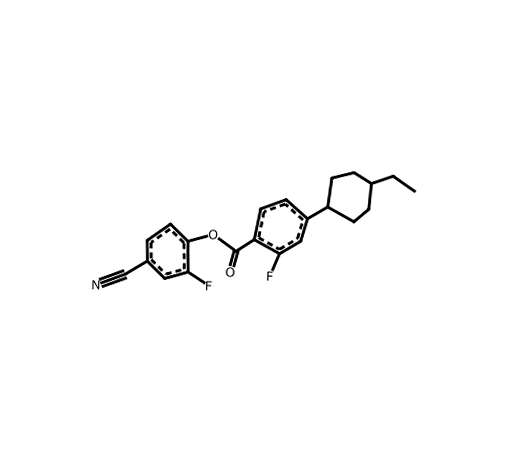 CCC1CCC(c2ccc(C(=O)Oc3ccc(C#N)cc3F)c(F)c2)CC1